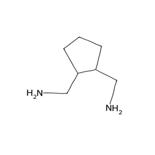 NCC1CCCC1CN